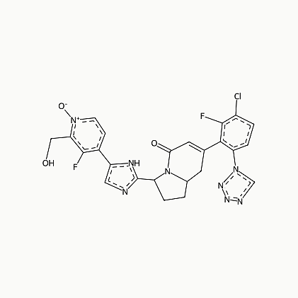 O=C1C=C(c2c(-n3cnnn3)ccc(Cl)c2F)CC2CCC(c3ncc(-c4cc[n+]([O-])c(CO)c4F)[nH]3)N12